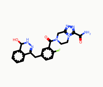 NC(=O)c1nnc2n1CCN(C(=O)c1cc(CC3=NNC(O)c4ccccc43)ccc1F)C2